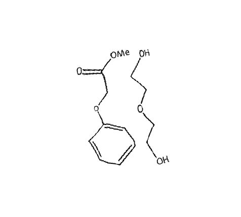 COC(=O)COc1ccccc1.OCCOCCO